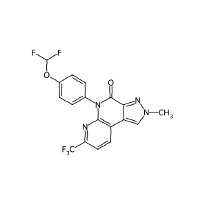 Cn1cc2c(n1)c(=O)n(-c1ccc(OC(F)F)cc1)c1nc(C(F)(F)F)ccc21